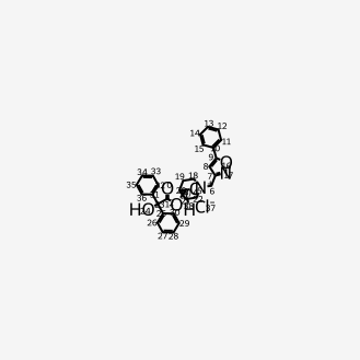 O=C(O[C@H]1C[N+]2(Cc3cc(-c4ccccc4)on3)CCC1CC2)C(O)(c1ccccc1)c1ccccc1.[Cl-]